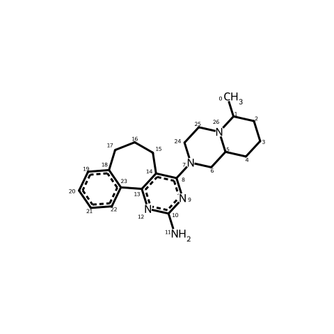 CC1CCCC2CN(c3nc(N)nc4c3CCCc3ccccc3-4)CCN12